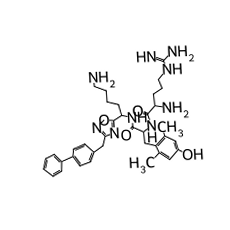 Cc1cc(O)cc(C)c1CC(NC(=O)C(N)CCCNC(=N)N)C(=O)NC(CCCCN)c1nc(Cc2ccc(-c3ccccc3)cc2)no1